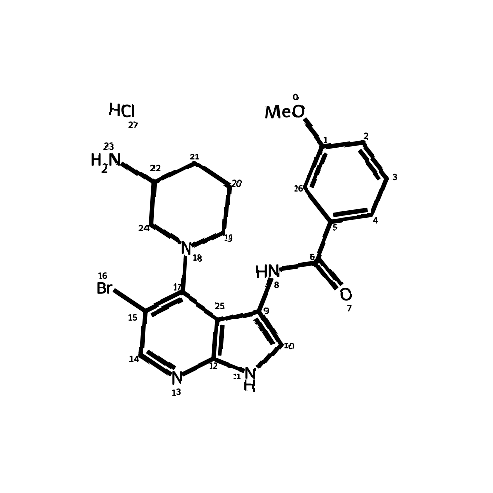 COc1cccc(C(=O)Nc2c[nH]c3ncc(Br)c(N4CCCC(N)C4)c23)c1.Cl